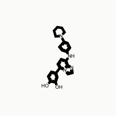 Oc1ccc(-c2ccc(Nc3ccc(N4CCCCC4)cc3)c3nccn23)cc1O